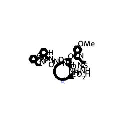 COc1ccc2c(O[C@@H]3C[C@H]4C(=O)N[C@]5(C(=O)O)CC5/C=C\CCCCC[C@H](NC(=O)N[C@H](CN5CCc6ccccc6S5(=O)=O)C5CCCCC5)C(=O)N4C3)cc(-c3csc(NC(C)C)n3)nc2c1